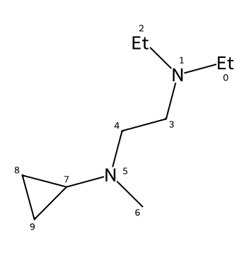 CCN(CC)CCN(C)C1CC1